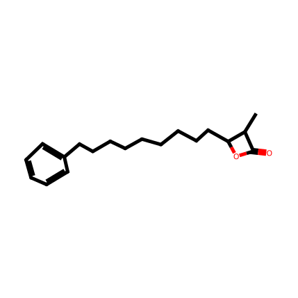 CC1C(=O)OC1CCCCCCCCCc1ccccc1